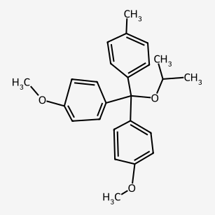 COc1ccc(C(OC(C)C)(c2ccc(C)cc2)c2ccc(OC)cc2)cc1